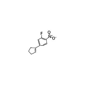 O=[N+]([O-])c1ccc(C2=CCCC2)cc1F